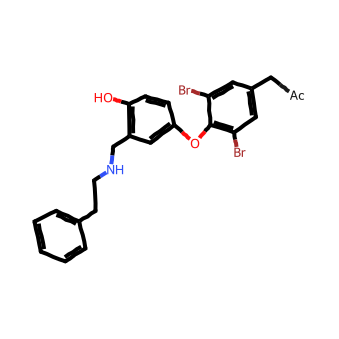 CC(=O)Cc1cc(Br)c(Oc2ccc(O)c(CNCCc3ccccc3)c2)c(Br)c1